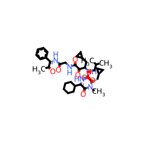 CC(=O)[C@@H](NC(=O)CNC(=O)C(=O)C(CC1CC1)NC(=O)[C@H](CC1CC1)N(C)C(=O)[C@@H](NC(=O)OCC(C)C)C1CCCCC1)c1ccccc1